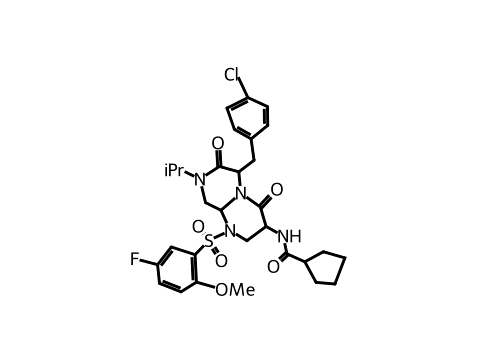 COc1ccc(F)cc1S(=O)(=O)N1CC(NC(=O)C2CCCC2)C(=O)N2C(Cc3ccc(Cl)cc3)C(=O)N(C(C)C)CC21